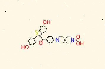 O=C(c1ccc(N2CCC3(CCN(C(=O)O)CC3)CC2)cc1)c1c(-c2ccc(O)cc2)sc2cc(O)ccc12